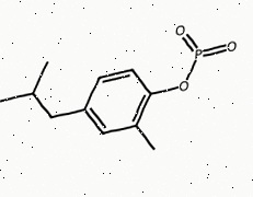 Cc1cc(CC(C)C)ccc1OP(=O)=O